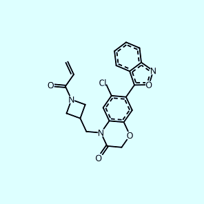 C=CC(=O)N1CC(CN2C(=O)COc3cc(-c4onc5ccccc45)c(Cl)cc32)C1